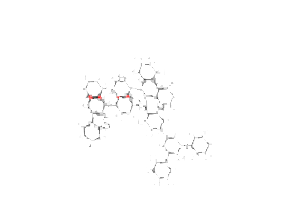 c1ccc(-c2ccc(-c3c(N(c4ccc(-c5cc(-c6ccccc6)cc(-c6ccccc6)c5)cc4)c4ccc(-c5cccc6c5sc5ccccc56)cc4)c4ccccc4c4ccccc34)cc2)cc1